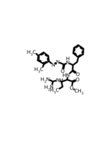 CCC(NC(N)N)C(NC(=O)C(Cc1ccccc1)NC(=O)/N=N/c1ccc(C)cc1C)C(=O)OC